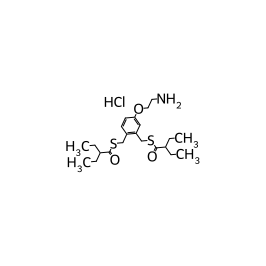 CCC(CC)C(=O)SCc1ccc(OCCN)cc1CSC(=O)C(CC)CC.Cl